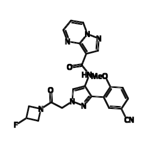 COc1ccc(C#N)cc1-c1nn(CC(=O)N2CC(F)C2)cc1NC(=O)c1cnn2cccnc12